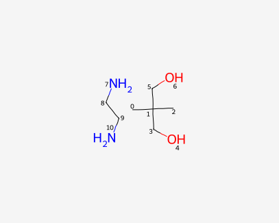 CC(C)(CO)CO.NCCN